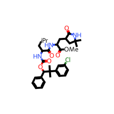 COC(=O)C(CC1CC(C)(C)NC1=O)NC(=O)C(CC(C)C)NC(=O)OC(c1ccccc1)C(C)(C)c1cccc(Cl)c1